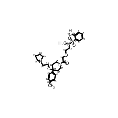 Cc1ccccc1S(=O)(=O)N(C)CCOCC(=O)N1CCC(OCCN2CCCC2)(c2ccc(C(F)(F)F)cc2)CC1